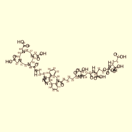 O=C(O)CCC(NP(=O)(O)OCC[C@H](NC(=O)CC[C@@H](NC(=O)CCCCC(=O)N1Cc2ccccc2-c2c(nnn2CCCNC(=O)CN2CCN(CC(=O)O)CCN(CC(=O)O)CCN(CC(=O)O)CC2)-c2ccccc21)C(=O)O)C(=O)O)C(=O)O